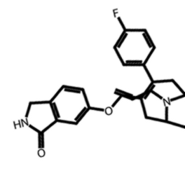 C=CCN1C2CCC1CC(c1ccc(F)cc1)=C(COc1ccc3c(c1)C(=O)NC3)C2